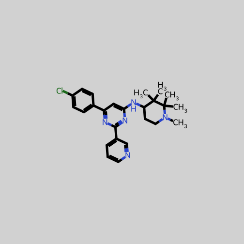 CN1CCC(Nc2cc(-c3ccc(Cl)cc3)nc(-c3cccnc3)n2)C(C)(C)C1(C)C